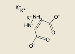 O=C([O-])/C=C\C(=O)[O-].[K+].[K+].[K+].[NH-]N